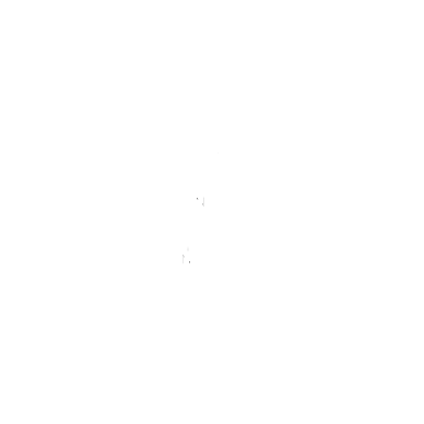 Cc1cc(C)c2c(c1C)c1c3c(cc[n+]1C)cc(C1CCCCC1)c1c4c(C)cccc4n2c13